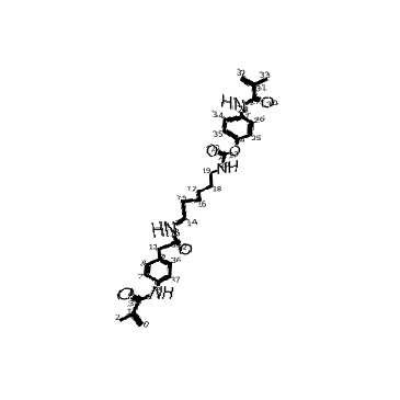 C=C(C)C(=O)Nc1ccc(CC(=O)NCCCCCCNC(=O)Oc2ccc(NC(=O)C(=C)C)cc2)cc1